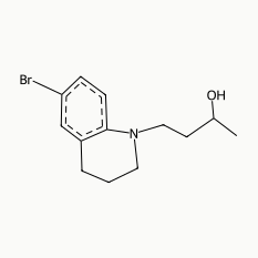 CC(O)CCN1CCCc2cc(Br)ccc21